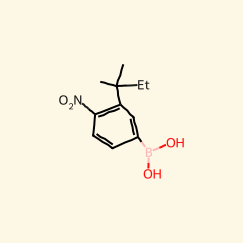 CCC(C)(C)c1cc(B(O)O)ccc1[N+](=O)[O-]